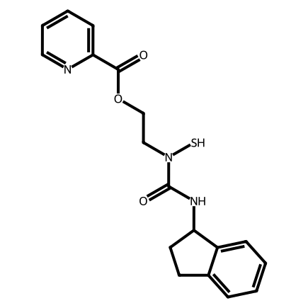 O=C(OCCN(S)C(=O)NC1CCc2ccccc21)c1ccccn1